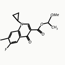 COC(C)OC(=O)c1cn(C2CC2)c2cc(F)c(F)cc2c1=O